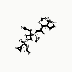 C=NN(/C=C(\C)c1ncnc2[nH]ccc12)C1(CC#N)CN(S(=O)(=NCC)C2CC2)C1